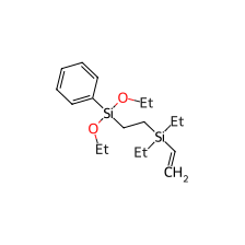 C=C[Si](CC)(CC)CC[Si](OCC)(OCC)c1ccccc1